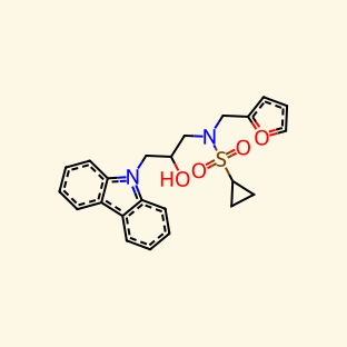 O=S(=O)(C1CC1)N(Cc1ccco1)CC(O)Cn1c2ccccc2c2ccccc21